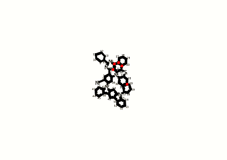 N#Cc1cc(C2N=C(C3C=CC=CC3)N=C(c3ccccc3)N2)c(N2c3ccccc3Sc3ccccc32)cc1-n1c2ccccc2c2cc3c4ccccc4n(-c4ccccc4)c3cc21